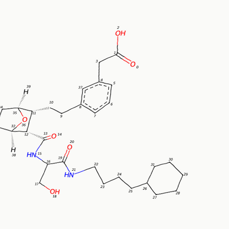 O=C(O)Cc1cccc(CC[C@@H]2[C@H](C(=O)NC(CO)C(=O)NCCCCC3CCCCC3)[C@H]3CC[C@@H]2O3)c1